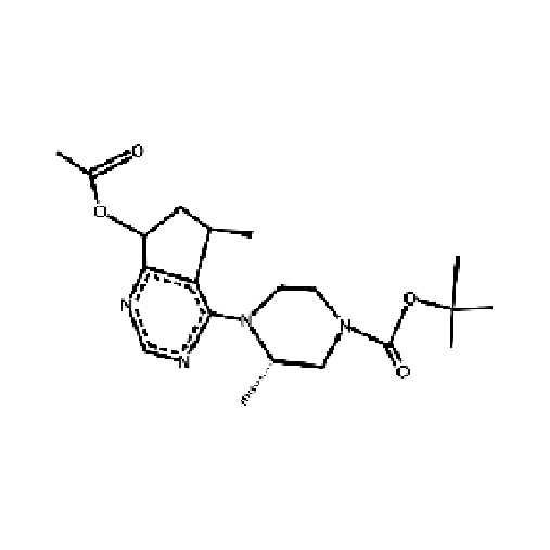 CC(=O)OC1C[C@@H](C)c2c1ncnc2N1CCN(C(=O)OC(C)(C)C)C[C@@H]1C